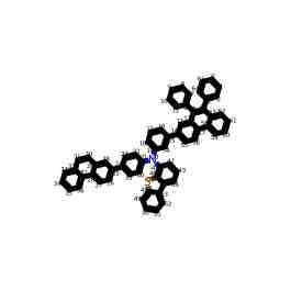 c1ccc(-c2c(-c3ccccc3)c3cc(-c4cccc(N(c5ccc(-c6ccc7c(ccc8ccccc87)c6)cc5)c5cccc6c5sc5ccccc56)c4)ccc3c3ccccc23)cc1